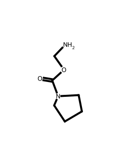 NCOC(=O)N1CCCC1